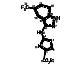 CCOC(=O)c1csc(Nc2n[nH]c3ccc(C(F)(F)F)cc23)n1